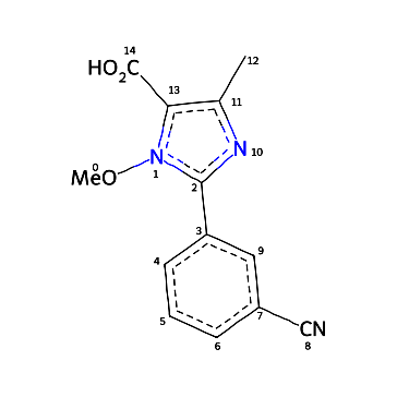 COn1c(-c2cccc(C#N)c2)nc(C)c1C(=O)O